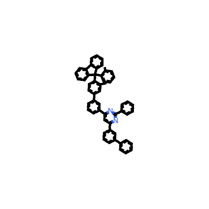 Cc1ccccc1C1(c2ccc(-c3cccc(-c4cc(-c5cccc(-c6ccccc6)c5)nc(-c5ccccc5)n4)c3)cc2C)c2ccccc2-c2ccccc21